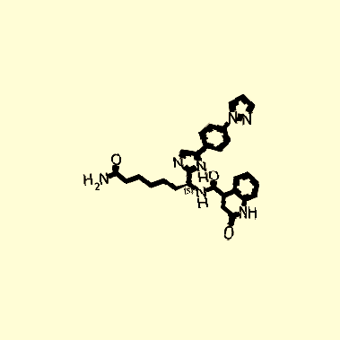 NC(=O)CCCCC[C@H](NC(=O)C1CC(=O)Nc2ccccc21)c1ncc(-c2ccc(-n3cccn3)cc2)[nH]1